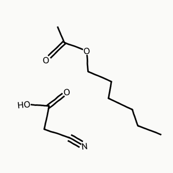 CCCCCCOC(C)=O.N#CCC(=O)O